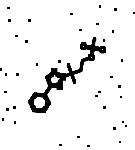 CC(C)(CCOS(C)(=O)=O)n1ncc(-c2ccccc2)n1